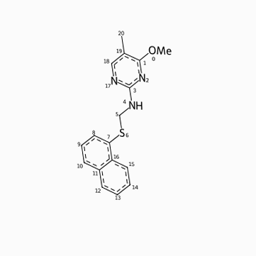 COc1nc(NCSc2cccc3ccccc23)ncc1C